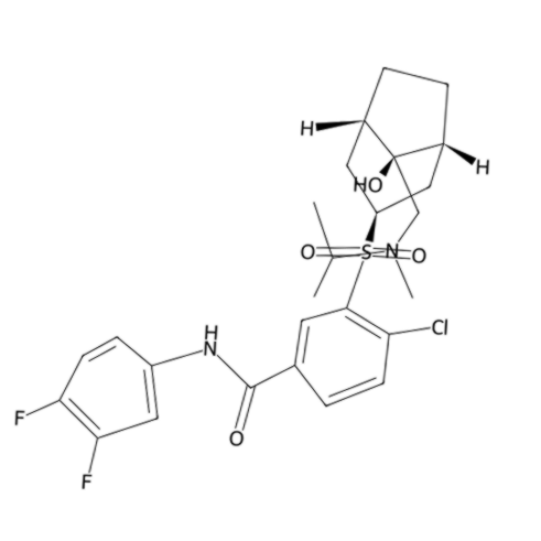 CC(C)N(C)C[C@@]1(O)[C@@H]2CC[C@H]1C[C@H](S(=O)(=O)c1cc(C(=O)Nc3ccc(F)c(F)c3)ccc1Cl)C2